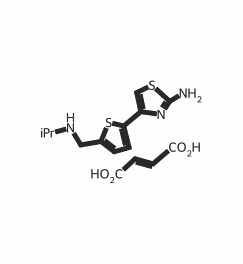 CC(C)NCc1ccc(-c2csc(N)n2)s1.O=C(O)C=CC(=O)O